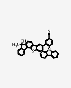 CC1(C)c2ccccc2-c2c1ccc1c2sc2ccc(-c3cc(C#N)ccc3-n3c4ccccc4c4ccccc43)cc21